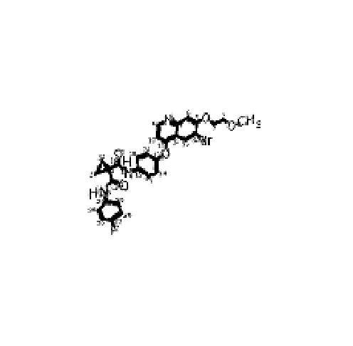 COCCOc1cc2nccc(Oc3ccc(NC(=O)C4(C(=O)Nc5ccc(F)cc5)CC4)cc3)c2cc1Br